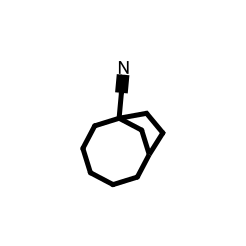 N#CC12CCCCCC(CC1)C2